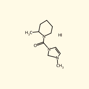 CC1CCCCN1C(=O)N1C=CN(C)C1.I